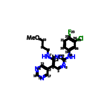 C=C(/N=C\C(=C(/N)NCCCOC)c1cncnc1)Nc1ccc(F)c(Cl)c1